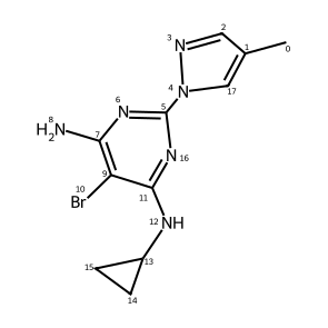 Cc1cnn(-c2nc(N)c(Br)c(NC3CC3)n2)c1